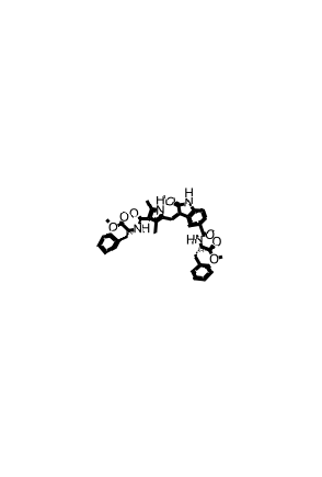 COC(=O)[C@H](Cc1ccccc1)NC(=O)c1ccc2c(c1)C(=Cc1[nH]c(C)c(C(=O)N[C@@H](Cc3ccccc3)C(=O)OC)c1C)C(=O)N2